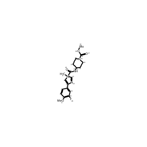 COc1ccc(C2=C[N+](C)(C(=O)NC3CCN(C(=O)OC(C)(C)C)CC3)C=N2)cc1F